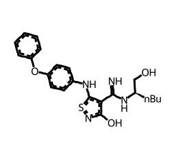 CCCC[C@H](CO)NC(=N)c1c(O)nsc1Nc1ccc(Oc2ccccc2)cc1